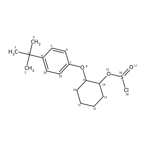 CC(C)(C)c1ccc(OC2CCCCC2OS(=O)Cl)cc1